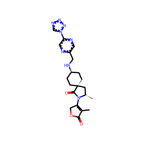 CC1=C(N2C(=O)[C@]3(CC[C@H](NCc4cnc(-n5cnnn5)cn4)CC3)C[C@@H]2C)COC1=O